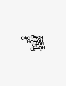 OCl.OCl.OCl.OCl.OCl